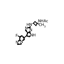 CC(=O)N[C@]1(C)C[C@H](Nc2ncc3c(-c4cc(F)c5nccn5c4)c[nH]c3n2)C1